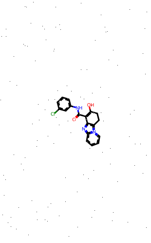 O=C(Nc1cccc(Cl)c1)C1=C(O)CCc2c1nc1ccccn21